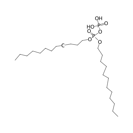 CCCCCCCCCCCCOP(=O)(OCCCCCCCCCCCC)OP(=O)(O)O